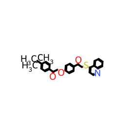 CC(C)(C)c1ccc(C(=O)COc2ccc(C(=O)CSc3ccnc4ccccc34)cc2)cc1